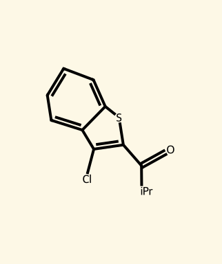 CC(C)C(=O)c1sc2ccccc2c1Cl